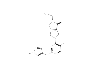 Cn1cc(Nc2ncc(Cl)c(N3C[C@@]4(C)CN(CC#N)C(=O)[C@@]4(C)C3)n2)cn1